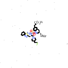 CSC[C@@H]1CNc2c(cc(CCC(=O)O)cc2S(=O)(=O)N[C@@H](Cc2nc3ccccc3s2)C(=O)N2CCC(CCF)CC2)C1